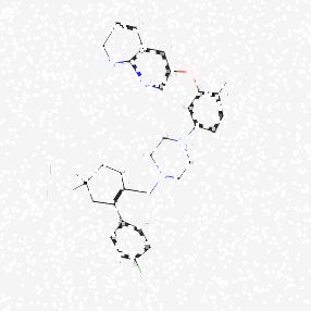 CC1(C)CCC(CN2CCN(c3ccc(C(=O)O)c(Oc4cnc5c(c4)C=CCN5)c3)CC2)=C(c2ccc(Cl)cc2)C1